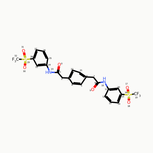 O=C(Cc1ccc(CC(=O)Nc2cccc(S(=O)(=O)C(F)(F)F)c2)cc1)Nc1cccc(S(=O)(=O)C(F)(F)F)c1